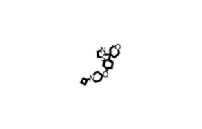 c1csc(C2(c3ccc(OC4CCN(C5CCC5)CC4)cc3)CCOCC2)n1